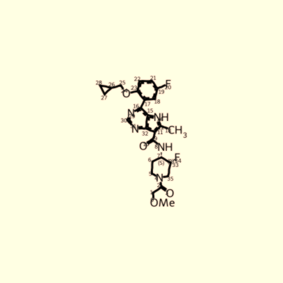 COCC(=O)N1CC[C@H](NC(=O)c2c(C)[nH]c3c(-c4cc(F)ccc4OCC4CC4)ncnc23)[C@H](F)C1